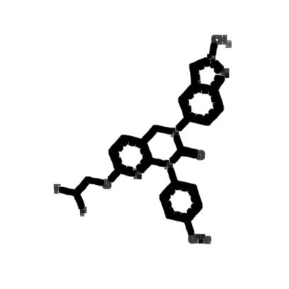 COc1ccc(N2C(=O)N(c3ccc4nn(C)cc4c3)Cc3ccc(OCC(F)F)nc32)cc1